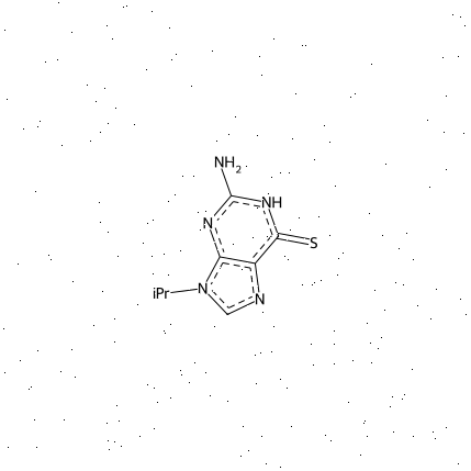 CC(C)n1cnc2c(=S)[nH]c(N)nc21